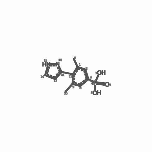 Cc1cc(P(=O)(O)O)cc(C)c1-c1cc[nH]n1